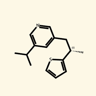 CC(C)c1cncc(C[C@H](C)c2cccs2)c1